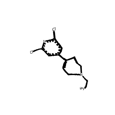 C[C](C)CN1CC=C(c2cc(Cl)nc(Cl)c2)CC1